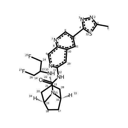 Cc1nnc(-c2cnc3cnc(NC(=O)N4[C@@H]5CC[C@H]4C[C@H](NC(CF)CF)C5)cc3c2)s1